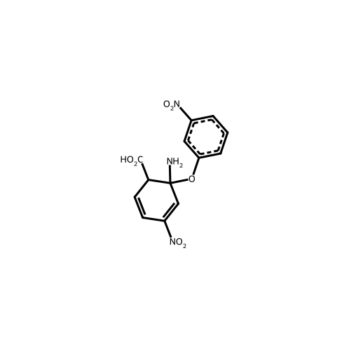 NC1(Oc2cccc([N+](=O)[O-])c2)C=C([N+](=O)[O-])C=CC1C(=O)O